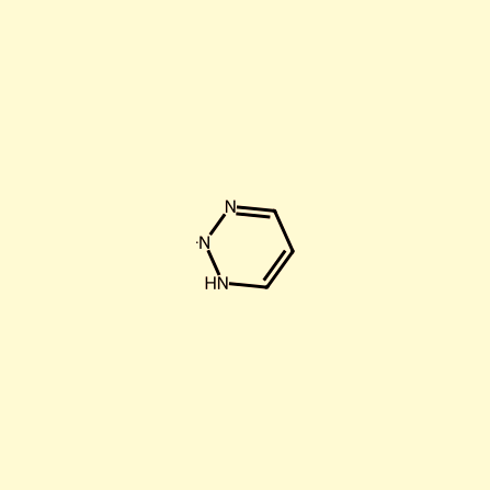 C1=CN[N]N=C1